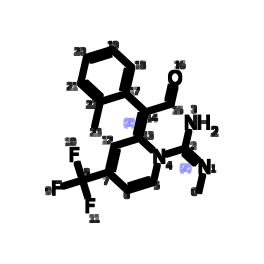 C/N=C(/N)N1C=CC(C(F)(F)F)=C/C1=C(/C=O)c1ccccc1C